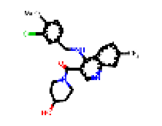 COc1ccc(CNc2c(C(=O)N3CCC(O)CC3)cnc3cc(C(F)(F)F)ccc23)cc1Cl